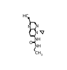 C#Cc1cnc2nc(NC(=O)NCC)ccc2n1.C1CC1